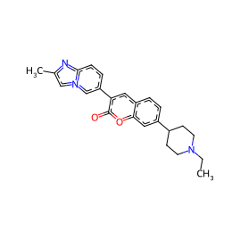 CCN1CCC(c2ccc3cc(-c4ccc5nc(C)cn5c4)c(=O)oc3c2)CC1